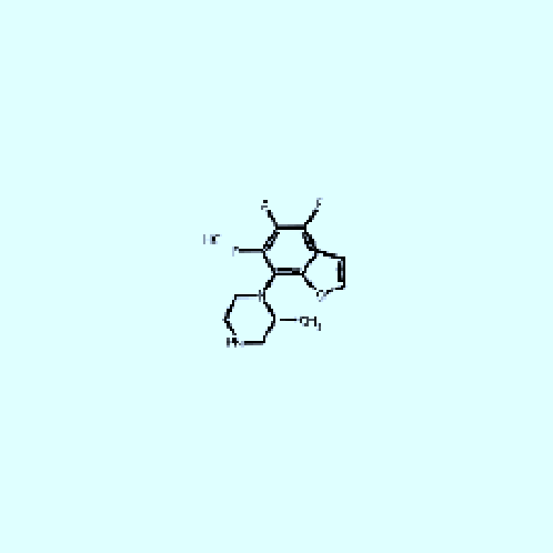 C[C@H]1CNCCN1c1c(F)c(F)c(F)c2ccoc12.Cl